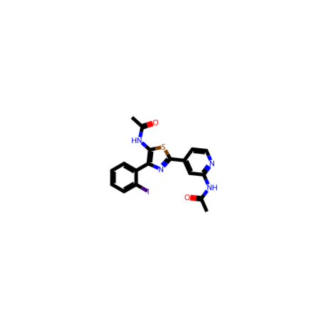 CC(=O)Nc1cc(-c2nc(-c3ccccc3I)c(NC(C)=O)s2)ccn1